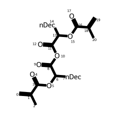 C=C(C)C(=O)OC(CCCCCCCCCC)C(=O)OC(=O)C(CCCCCCCCCC)OC(=O)C(=C)C